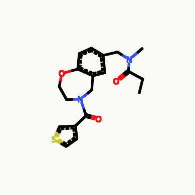 CCC(=O)N(C)Cc1ccc2c(c1)CN(C(=O)c1ccsc1)CCO2